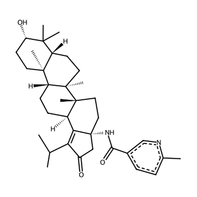 Cc1ccc(C(=O)N[C@@]23CC[C@]4(C)[C@H](CC[C@@H]5[C@@]6(C)CC[C@H](O)C(C)(C)[C@@H]6CC[C@]54C)C2=C(C(C)C)C(=O)C3)cn1